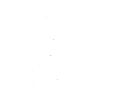 C=CCN(CC=C)c1cccc2c(N(CC=C)CC=C)cccc12.C=CCN(CC=C)c1cccc2c(N(CC=C)CC=C)cccc12